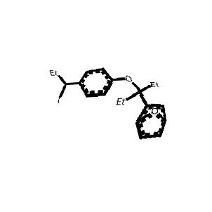 CCC(I)c1ccc(OC(CC)(CC)c2cc3ccc2o3)cc1